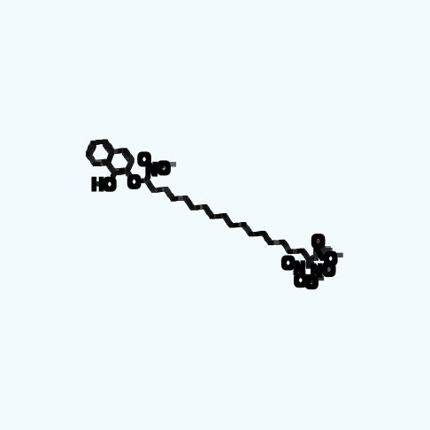 O=[N+]([O-])C(CCCCCCCCCCCCCCCCC([N+](=O)[O-])([N+](=O)[O-])[N+](=O)[O-])Oc1ccc2ccccc2c1O